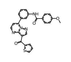 COc1ccc(C(=O)Nc2cccc(-c3ccnc4c(C(=O)c5cccs5)cnn34)c2)cc1